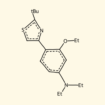 CCOc1cc(N(CC)CC)ccc1-c1csc(C(C)(C)C)n1